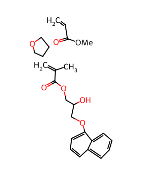 C1CCOC1.C=C(C)C(=O)OCC(O)COc1cccc2ccccc12.C=CC(=O)OC